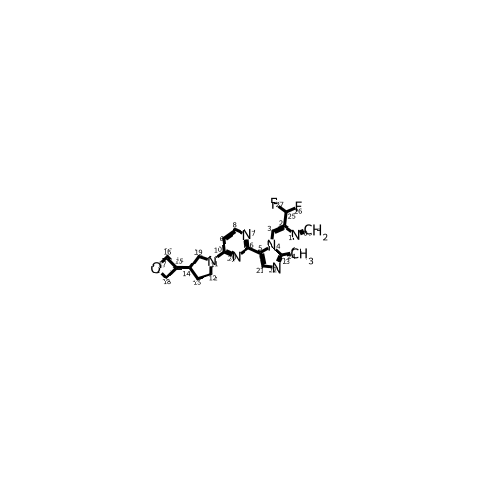 C=N/C(=C\n1c(-c2nccc(N3CCC(C4COC4)C3)n2)cnc1C)C(F)F